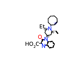 C=C[C@@H]1C[C@H](n2c(=O)c(C(=O)O)nc3ccccc32)C[C@H](CC)N1C1/C=C\CCCCC1